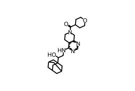 O=C(C1CCOCC1)N1CCc2c(ncnc2NCC(O)C23CC4CC(CC(C4)C2)C3)C1